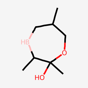 CC1CBC(C)C(C)(O)OC1